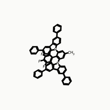 Cc1cc(-n2c3ccc(-c4ccccc4)cc3c3cc(-c4ccccc4)ccc32)c(-c2c(F)c(F)c(F)c(F)c2F)c(-n2c3ccc(-c4ccccc4)cc3c3cc(-c4ccccc4)ccc32)c1